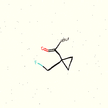 CCC(C)C(=O)C1(CF)CC1